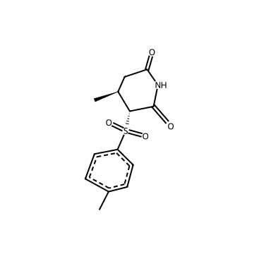 Cc1ccc(S(=O)(=O)[C@H]2C(=O)NC(=O)C[C@@H]2C)cc1